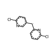 Clc1ccc([CH]c2cccc(Cl)n2)cn1